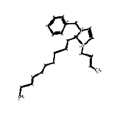 CCCCCCCCCCC1N(CCCC)C=CN1Cc1ccccc1